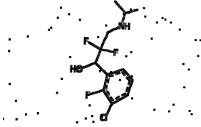 CC(C)NCC(F)(F)C(O)c1cccc(Cl)c1F